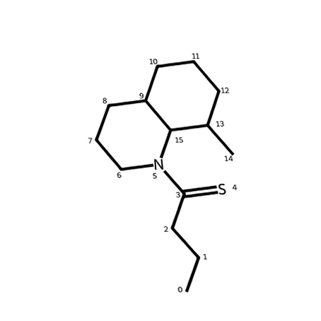 CCCC(=S)N1CCCC2CCCC(C)C21